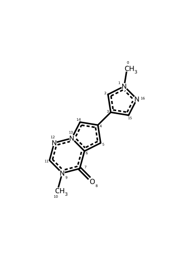 Cn1cc(-c2cc3c(=O)n(C)cnn3c2)cn1